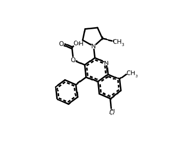 Cc1cc(Cl)cc2c(-c3ccccc3)c(OC(=O)O)c(N3CCCC3C)nc12